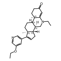 CCOc1cncc(C2=CC[C@H]3[C@@H]4CN(CC)C5=CC(=O)CC[C@]5(C)[C@H]4CC[C@]23C)c1